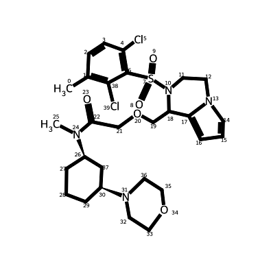 Cc1ccc(Cl)c(S(=O)(=O)N2CCn3cccc3C2COCC(=O)N(C)[C@@H]2CCC[C@H](N3CCOCC3)C2)c1Cl